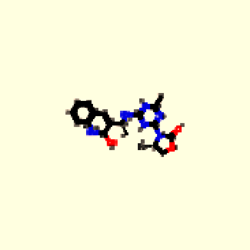 CC[C@H]1COC(=O)N1c1nc(C)nc(N[C@H](C)C2=Cc3ccccc3NC2O)n1